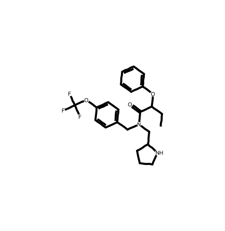 CCC(Oc1ccccc1)C(=O)N(Cc1ccc(OC(F)(F)F)cc1)CC1CCCN1